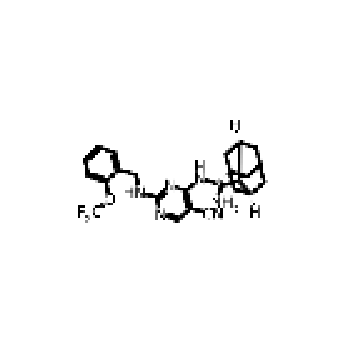 N#Cc1cnc(NCc2ccccc2OC(F)(F)F)nc1NC[C@@]12CC3C[C@H](C1)C(CN)[C@@H](C3)C2